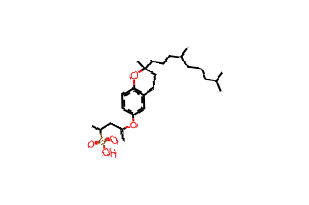 CC(C)CCCC(C)CCCC1(C)CCc2cc(OC(C)CC(C)S(=O)(=O)O)ccc2O1